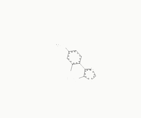 CCOC(=O)c1scnc1-c1ccc(OC)cc1C